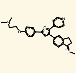 C/N=C1\CCc2cc(-c3cc(-c4ccc(OCCN(C)C)cc4)oc3-c3ccncc3)ccc21